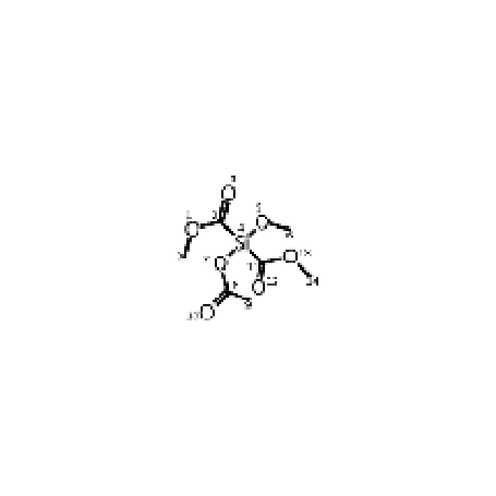 COC(=O)[Si](OC)(OC(C)=O)C(=O)OC